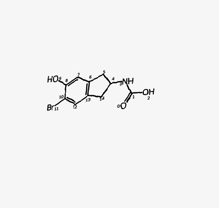 O=C(O)NC1Cc2cc(O)c(Br)cc2C1